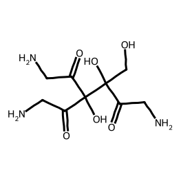 NCC(=O)C(O)(CO)C(O)(C(=O)CN)C(=O)CN